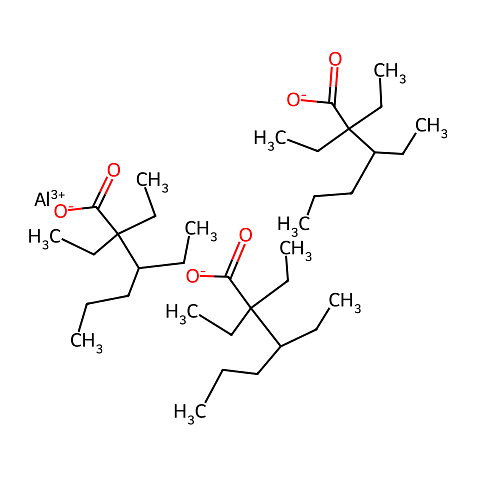 CCCC(CC)C(CC)(CC)C(=O)[O-].CCCC(CC)C(CC)(CC)C(=O)[O-].CCCC(CC)C(CC)(CC)C(=O)[O-].[Al+3]